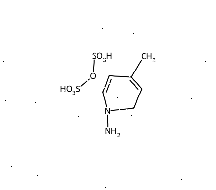 CC1=CCN(N)C=C1.O=S(=O)(O)OS(=O)(=O)O